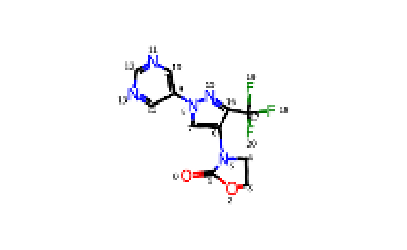 O=C1OCCN1c1cn(-c2cncnc2)nc1C(F)(F)F